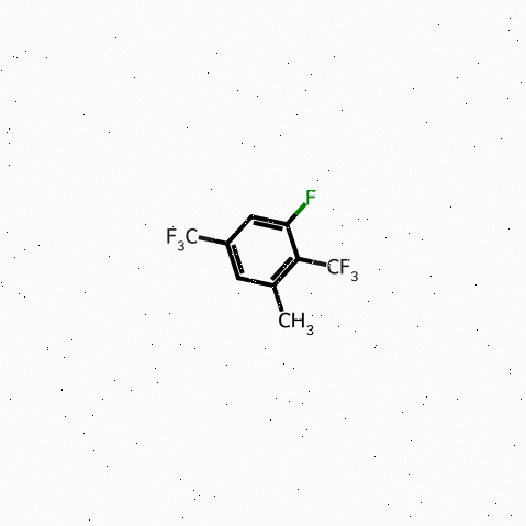 Cc1cc(C(F)(F)F)cc(F)c1C(F)(F)F